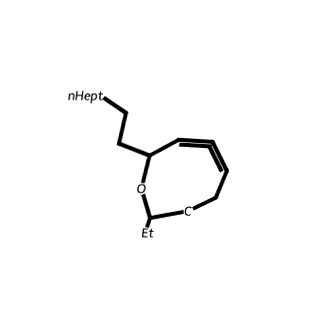 CCCCCCCCCC1C=C=CCCC(CC)O1